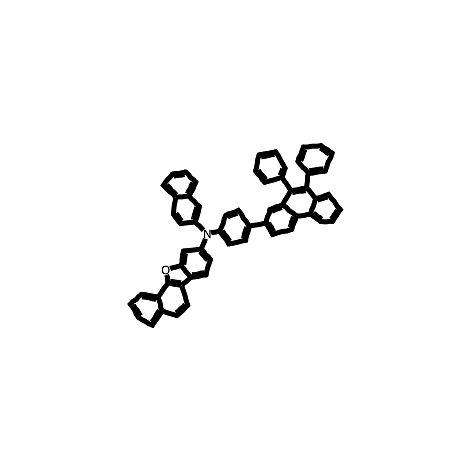 c1ccc(-c2c(-c3ccccc3)c3cc(-c4ccc(N(c5ccc6ccccc6c5)c5ccc6c(c5)oc5c7ccccc7ccc65)cc4)ccc3c3ccccc23)cc1